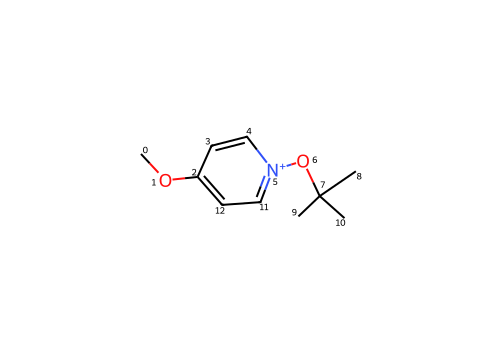 COc1cc[n+](OC(C)(C)C)cc1